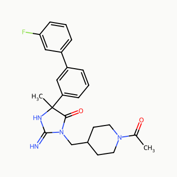 CC(=O)N1CCC(CN2C(=N)NC(C)(c3cccc(-c4cccc(F)c4)c3)C2=O)CC1